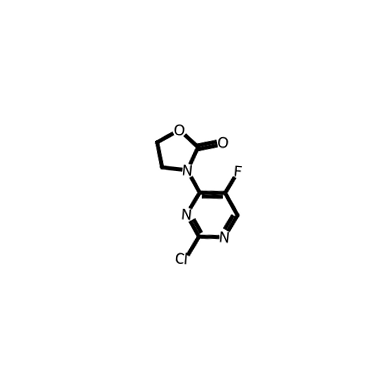 O=C1OCCN1c1nc(Cl)ncc1F